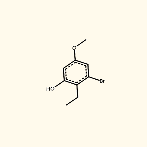 CCc1c(O)cc(OC)cc1Br